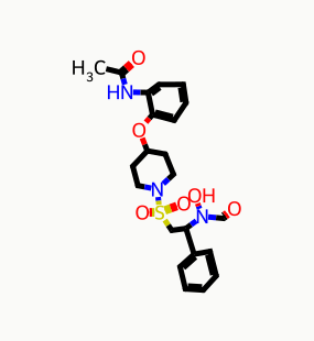 CC(=O)Nc1ccccc1OC1CCN(S(=O)(=O)CC(c2ccccc2)N(O)C=O)CC1